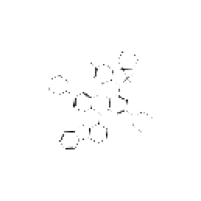 CC(C)(C)C1=CC2B3C4=CC(C5CCCCC5)=CCC4N(C4CCCC5C6C=CC=CC6SC54)c4cc(C5CCCCC5)cc(c43)N3C2C(C1)C1(CCCCC1)C3(C)C